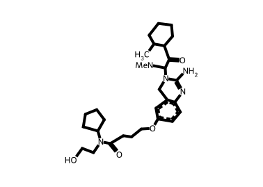 CNC(C(=O)C1CCCCC1C)N1Cc2cc(OCCCC(=O)N(CCO)C3CCCC3)ccc2N=C1N